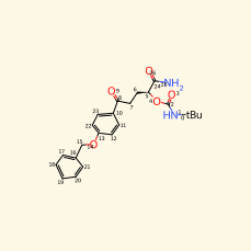 CC(C)(C)NC(=O)O[C@@H](CCC(=O)c1ccc(OCc2ccccc2)cc1)C(N)=O